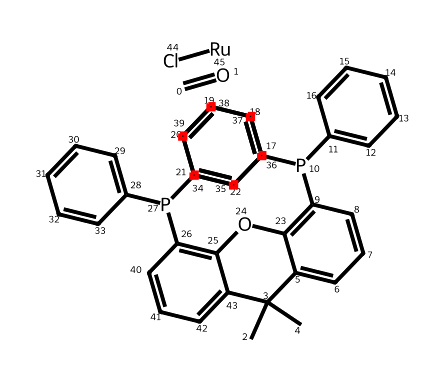 C=O.CC1(C)c2cccc(P(c3ccccc3)c3ccccc3)c2Oc2c(P(c3ccccc3)c3ccccc3)cccc21.[Cl][Ru]